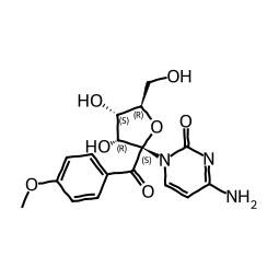 COc1ccc(C(=O)[C@@]2(n3ccc(N)nc3=O)O[C@H](CO)[C@@H](O)[C@H]2O)cc1